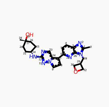 Cc1nc2ccc(-c3ccn4nc(N[C@H]5CC[C@@](C)(O)CC5)ncc34)nc2n1CC1COC1